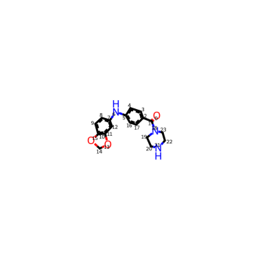 O=C(c1ccc(Nc2ccc3c(c2)OCO3)cc1)N1CCNCC1